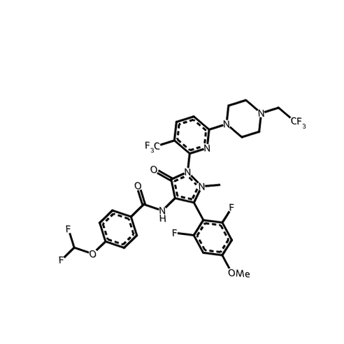 COc1cc(F)c(-c2c(NC(=O)c3ccc(OC(F)F)cc3)c(=O)n(-c3nc(N4CCN(CC(F)(F)F)CC4)ccc3C(F)(F)F)n2C)c(F)c1